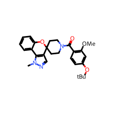 COc1cc(OC(C)(C)C)ccc1C(=O)N1CCC2(CC1)Oc1ccccc1-c1c2cnn1C